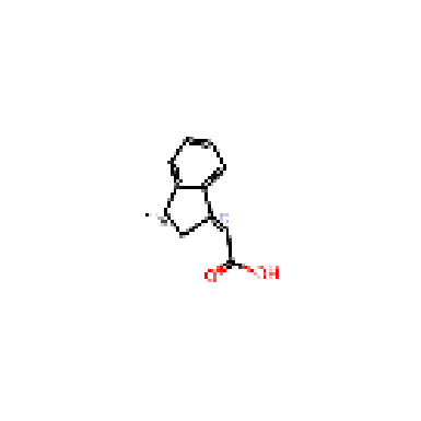 C[C@H]1C/C(=C\C(=O)O)c2ccccc21